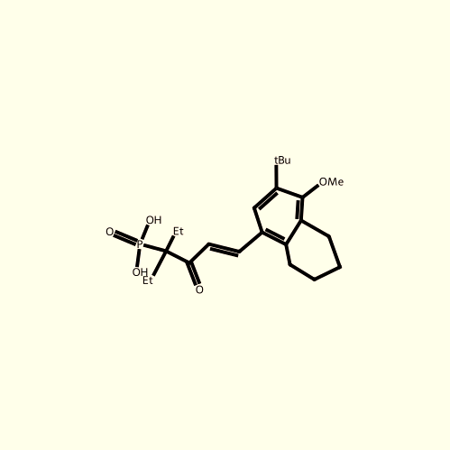 CCC(CC)(C(=O)C=Cc1cc(C(C)(C)C)c(OC)c2c1CCCC2)P(=O)(O)O